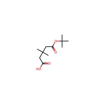 CC(C)(CC(=O)O)CC(=O)OC(C)(C)C